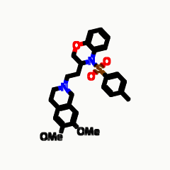 COc1cc2c(cc1OC)CN(CCC1COc3ccccc3N1S(=O)(=O)c1ccc(C)cc1)CC2